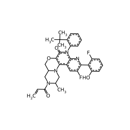 C=CC(=O)N1CC2COc3c(c4cc(F)c(-c5c(O)cccc5F)nc4n(-c4ccccc4C(C)(C)C)c3=O)N2CC1C